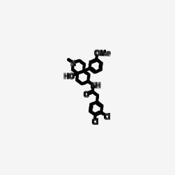 COc1cccc(C23CCN(C)CC2(O)CCC(NC(=O)Cc2ccc(Cl)c(Cl)c2)C3)c1